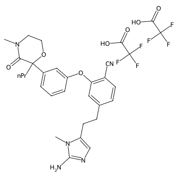 CCCC1(c2cccc(Oc3cc(CCc4cnc(N)n4C)ccc3C#N)c2)OCCN(C)C1=O.O=C(O)C(F)(F)F.O=C(O)C(F)(F)F